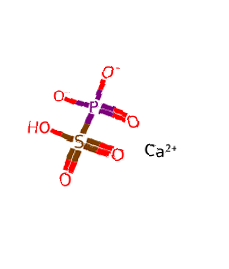 O=P([O-])([O-])S(=O)(=O)O.[Ca+2]